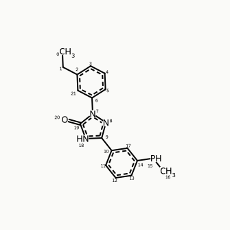 CCc1cccc(-n2nc(-c3cccc(PC)c3)[nH]c2=O)c1